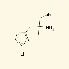 CC(C)CC(C)(N)Cc1ccc(Cl)s1